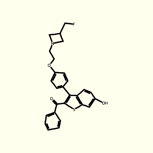 O=C(c1ccccc1)c1sc2cc(O)ccc2c1-c1ccc(OCCN2CC(CF)C2)cc1